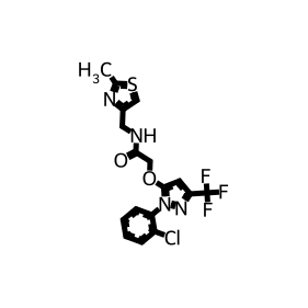 Cc1nc(CNC(=O)COc2cc(C(F)(F)F)nn2-c2ccccc2Cl)cs1